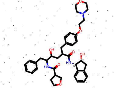 O=C(NC(Cc1ccccc1)C(O)CC(Cc1ccc(OCCN2CCOCC2)cc1)C(=O)N[C@H]1c2ccccc2C[C@@H]1O)C1CCOC1